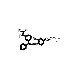 O=C(O)COc1ccc(SCC=C(c2ccccc2)c2cccc(C(F)C(F)F)c2)c(Br)c1